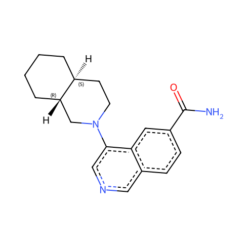 NC(=O)c1ccc2cncc(N3CC[C@@H]4CCCC[C@H]4C3)c2c1